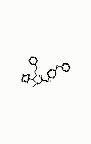 CN(CC(=O)Nc1ccc(Oc2ccccc2)cc1)C(CCCc1ccccc1)c1nnn[nH]1